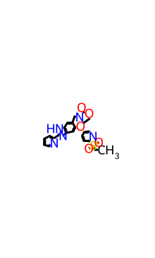 CCS(=O)(=O)c1ccc(Oc2cc3nc(-c4ccccn4)[nH]c3cc2CN2CCOC2=O)cn1